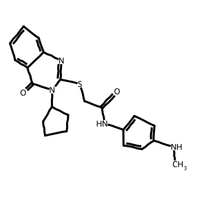 CNc1ccc(NC(=O)CSc2nc3ccccc3c(=O)n2C2CCCC2)cc1